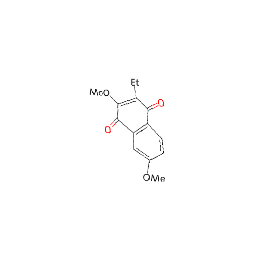 CCC1=C(OC)C(=O)c2cc(OC)ccc2C1=O